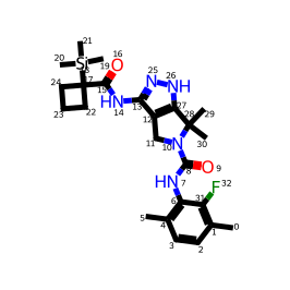 Cc1ccc(C)c(NC(=O)N2Cc3c(NC(=O)C4([Si](C)(C)C)CCC4)n[nH]c3C2(C)C)c1F